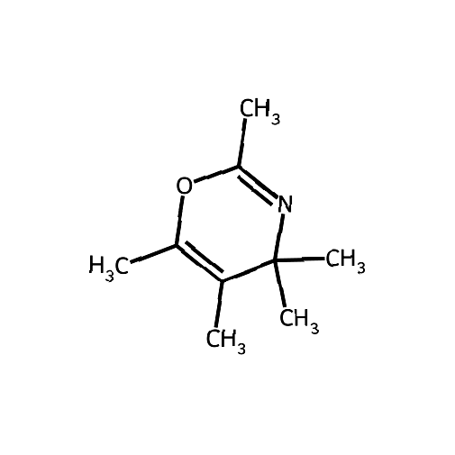 CC1=NC(C)(C)C(C)=C(C)O1